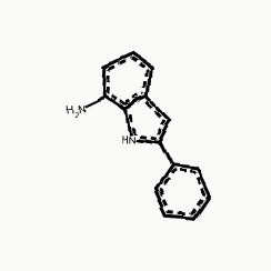 Nc1cccc2cc(-c3ccccc3)[nH]c12